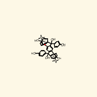 C[Si](C)(C)c1ccc(-c2cc(C(O)(c3ccc(O)cc3)c3ccc(O)cc3)c(-c3ccc([Si](C)(C)C)s3)cc2C(O)(c2ccc(O)cc2)c2ccc(O)cc2)s1